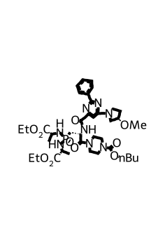 CCCCOC(=O)N1CCN(C(=O)[C@H](CP(=O)(N[C@@H](C)C(=O)OCC)N[C@@H](C)C(=O)OCC)NC(=O)c2cc(N3CC[C@H](OC)C3)nc(-c3ccccc3)n2)CC1